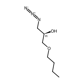 CCCCOC[C@H](O)CN=[N+]=[N-]